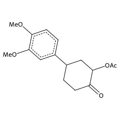 COc1ccc(C2CCC(=O)C(OC(C)=O)C2)cc1OC